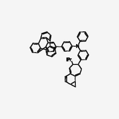 CC(C)C1C=C2C#CC3CC3C2=CCC1c1cccc(N(c2ccccc2)c2ccc(-c3ccc4c(c3)-c3c5cccc3-c3cccc-4c3-c3ccccc3-5)cc2)c1